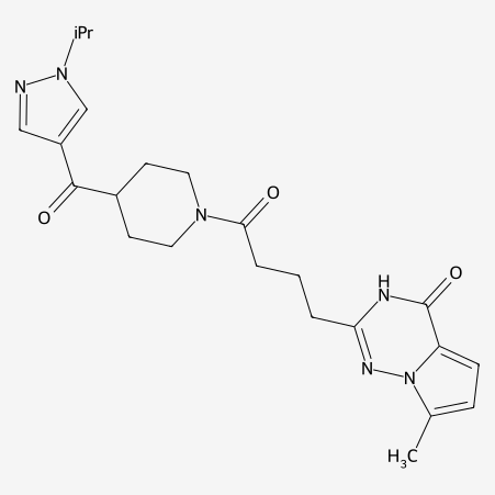 Cc1ccc2c(=O)[nH]c(CCCC(=O)N3CCC(C(=O)c4cnn(C(C)C)c4)CC3)nn12